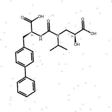 CC(C)N(C[C@H](O)C(=O)O)C(=O)N[C@@H](Cc1ccc(-c2ccccc2)cc1)C(=O)O